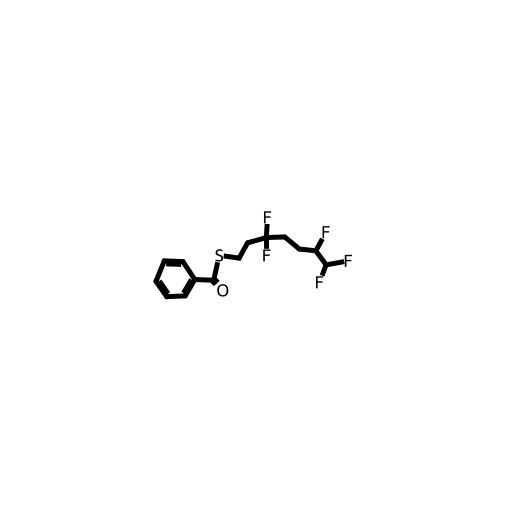 O=C(SCCC(F)(F)CCC(F)C(F)F)c1ccccc1